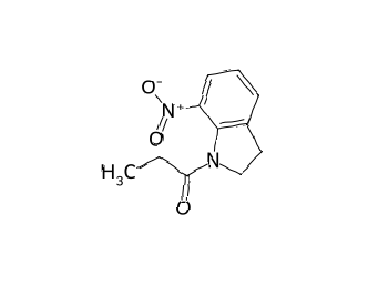 CCC(=O)N1CCc2cccc([N+](=O)[O-])c21